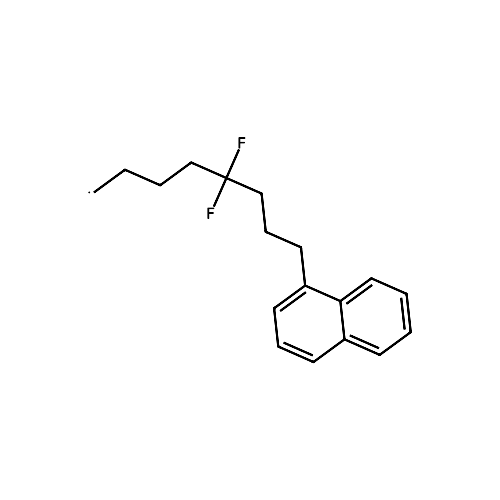 [CH2]CCCC(F)(F)CCCc1cccc2ccccc12